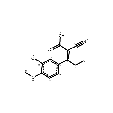 CCC(=C(C#N)C(=O)O)c1ccc(OC)c(Cl)c1